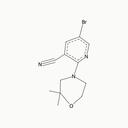 CC1(C)CN(c2ncc(Br)cc2C#N)CCO1